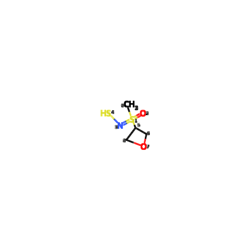 CS(=O)(=NS)C1COC1